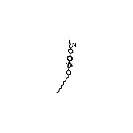 CCCCCCCCCC[C@H]1CC[C@H](c2cnc(-c3ccc([C@H]4CC[C@@](C#N)(CCCC)CC4)cc3)nc2)CC1